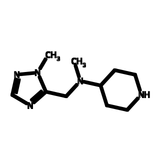 CN(Cc1ncnn1C)C1CCNCC1